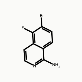 Nc1nccc2c(F)c(Br)ccc12